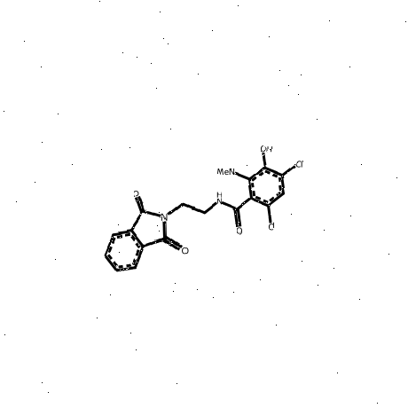 CNc1c(O)c(Cl)cc(Cl)c1C(=O)NCCN1C(=O)c2ccccc2C1=O